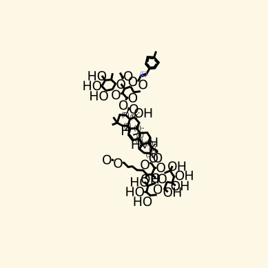 CC(=O)OC1C(OC(=O)/C=C/c2ccc(C)cc2)C(C)OC(OC(=O)[C@@H]2CC(C)(C)C[C@@H]3C2[C@H](O)C[C@]2(C)C3C=C[C@@H]3[C@@]4(C)CC[C@H](OC5OC(CCCCOC=O)C(O)C(OC6OCC(O)C(O)C6O)C5OC5OC(CO)C(O)C(O)C5O)[C@@](C)(C=O)[C@@H]4CC[C@]32C)C1OC1CC(C)C(O)C(O)C1O